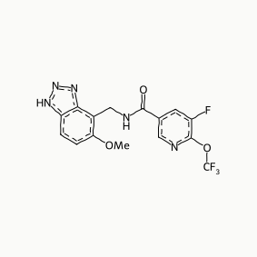 COc1ccc2[nH]nnc2c1CNC(=O)c1cnc(OC(F)(F)F)c(F)c1